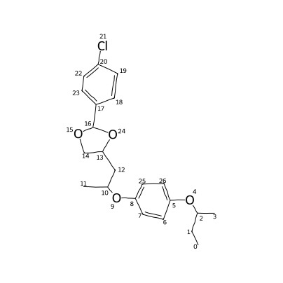 CCC(C)Oc1ccc(OC(C)CC2COC(c3ccc(Cl)cc3)O2)cc1